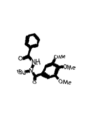 COc1cc(C(=O)N(NC(=O)c2ccccc2)C(C)(C)C)cc(OC)c1OC